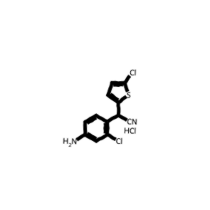 Cl.N#CC(c1ccc(Cl)s1)c1ccc(N)cc1Cl